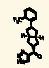 O=C(c1c[nH]nn1)N1C[C@H]2C[C@@H](c3ccccc3C(F)(F)F)C[C@H]2C1